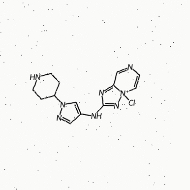 Cl[N+]12C=CN=CC1=NC(Nc1cnn(C3CCNCC3)c1)=N2